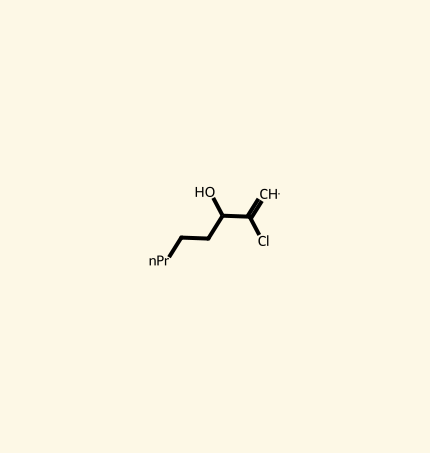 [CH]=C(Cl)C(O)CCCCC